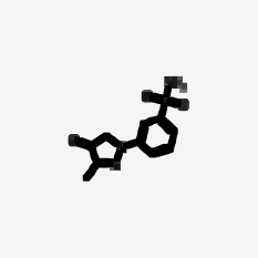 CC1=NN(c2cccc(S(N)(=O)=O)c2)CC1=O